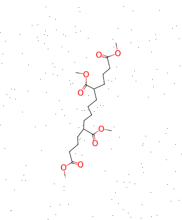 COC(=O)CCCC(CCCCC(CCCC(=O)OC)C(=O)OC)C(=O)OC